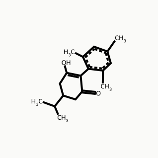 Cc1cc(C)c(C2=C(O)CC(C(C)C)CC2=O)c(C)c1